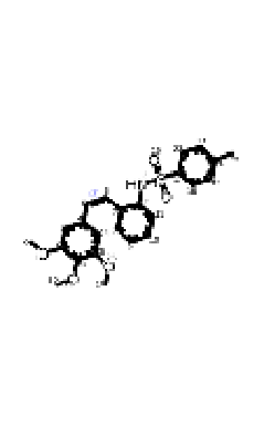 COc1cc(/C=C\c2ccccc2NS(=O)(=O)c2ccc(C)cc2)cc(OC)c1OC